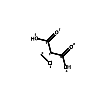 CCl.O=C(O)CC(=O)O